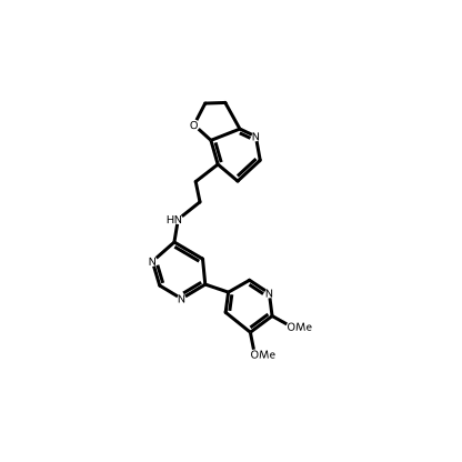 COc1cc(-c2cc(NCCc3ccnc4c3OCC4)ncn2)cnc1OC